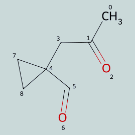 CC(=O)CC1(C=O)CC1